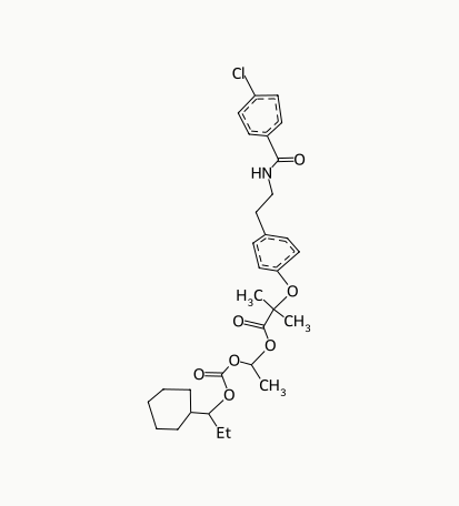 CCC(OC(=O)OC(C)OC(=O)C(C)(C)Oc1ccc(CCNC(=O)c2ccc(Cl)cc2)cc1)C1CCCCC1